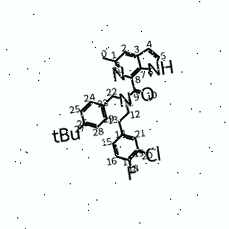 Cc1cc2cc[nH]c2c(C(=O)N(CCc2ccc(F)c(Cl)c2)Cc2ccc(C(C)(C)C)cc2)n1